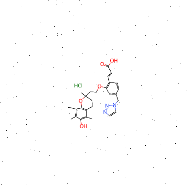 Cc1c(C)c2c(c(C)c1O)CCC(C)(CCOc1cc(Cn3ccnn3)ccc1C=CC(=O)O)O2.Cl